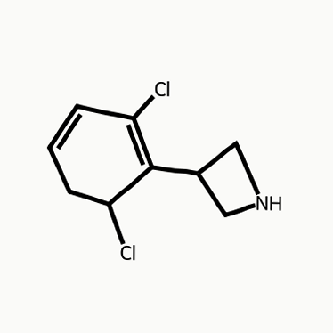 ClC1=C(C2CNC2)C(Cl)CC=C1